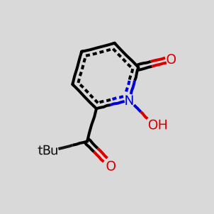 CC(C)(C)C(=O)c1cccc(=O)n1O